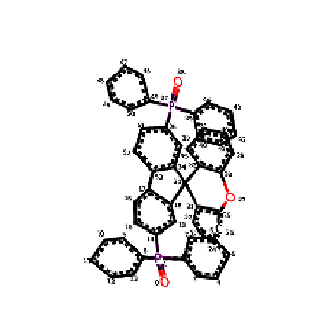 O=P(c1ccccc1)(c1ccccc1)c1ccc2c(c1)C1(c3ccccc3Oc3ccccc31)c1cc(P(=O)(c3ccccc3)c3ccccc3)ccc1-2